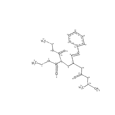 CCOC(=O)C(CC(/C=C/c1ccccc1)CC(=O)CC(C)C)C(=O)OCC